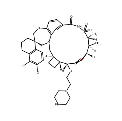 C[C@@H]1[C@@H](C)S(=O)(=O)NC(=O)c2ccc3c(c2)N(C[C@@H]2CC[C@H]2[C@@H](OCCN2CCNCC2)C2=C[C@H]1C2)C[C@@]1(CCCc2c1ccc(Cl)c2F)CO3